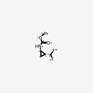 CC(C)OC(=O)N[C@@H]1C[C@H]1C(F)F